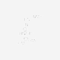 CNCCNC1CCN(c2ccc3[nH]c(-c4ccc(OC)c(OC)c4)c(C(C)C)c3c2)CC1